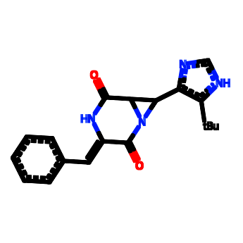 CC(C)(C)c1[nH]cnc1C1C2C(=O)N/C(=C\c3ccccc3)C(=O)N21